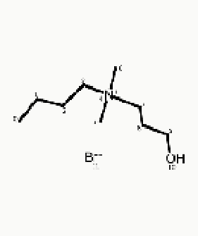 CCCC[N+](C)(C)CCCO.[Br-]